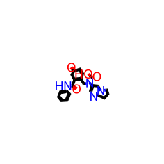 O=C1C=CC(CN(C(=O)O)C2=CN=C3CCCN3C2)=C(C(=O)Nc2ccccc2)C1